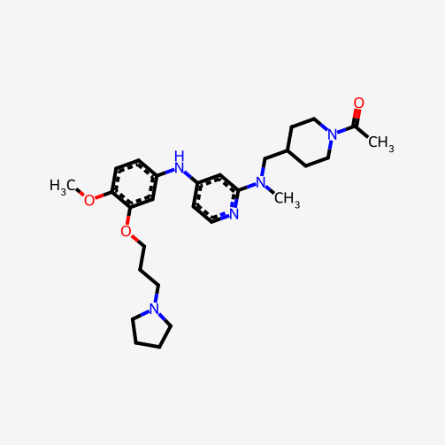 COc1ccc(Nc2ccnc(N(C)CC3CCN(C(C)=O)CC3)c2)cc1OCCCN1CCCC1